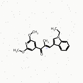 CCn1cc(/C=C(\C)C(=O)c2cc(OC)nc(OC)c2)c2ccccc21